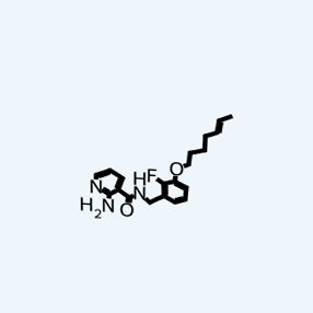 CC=CCCCCOc1cccc(CNC(=O)c2cccnc2N)c1F